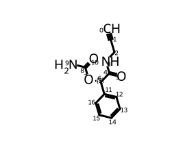 C#CCNC(=O)[C@@H](OC(N)=O)c1ccccc1